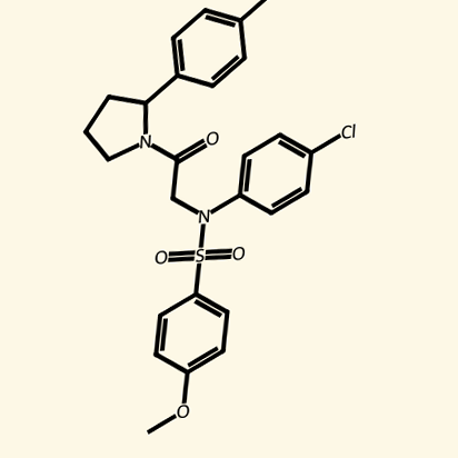 COc1ccc(S(=O)(=O)N(CC(=O)N2CCCC2c2ccc(F)cc2)c2ccc(Cl)cc2)cc1